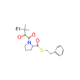 CCC(C)(C)C(=O)C(=O)N1CCCC1C(=O)SCCc1ccccc1